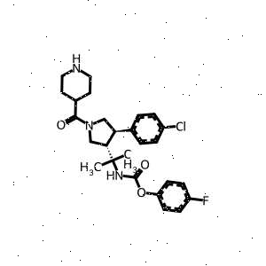 CC(C)(NC(=O)Oc1ccc(F)cc1)[C@@H]1CN(C(=O)C2CCNCC2)C[C@H]1c1ccc(Cl)cc1